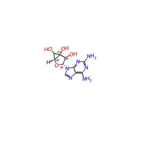 Nc1nc(N)c2ncn([C@@H]3O[C@@H]4C(O)[C@]4(O)[C@H]3O)c2n1